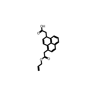 C=CCOC(=O)Cc1ccc2cccc3c2c1C=CC3CC(=O)O